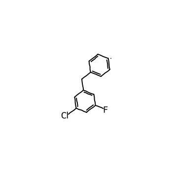 Fc1cc(Cl)cc(Cc2cc[c]cc2)c1